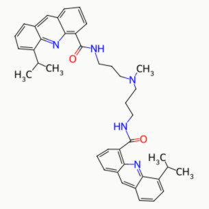 CC(C)c1cccc2cc3cccc(C(=O)NCCCN(C)CCCNC(=O)c4cccc5cc6cccc(C(C)C)c6nc45)c3nc12